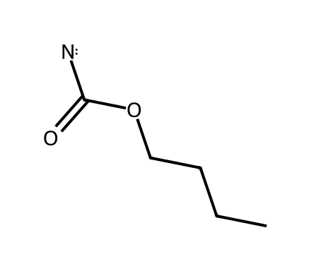 CCCCOC([N])=O